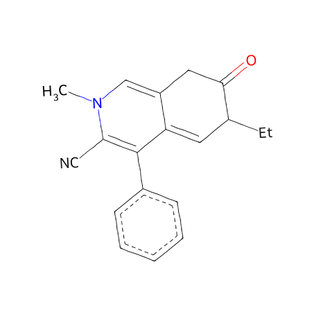 CCC1C=C2C(=CN(C)C(C#N)=C2c2ccccc2)CC1=O